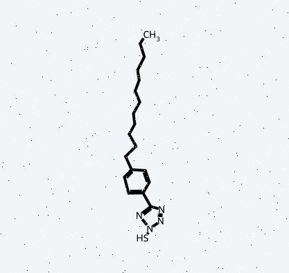 CCCCCCCCCCCCc1ccc(-c2nnn(S)n2)cc1